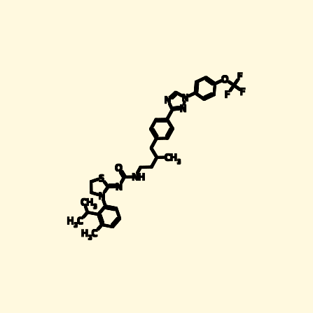 Cc1cccc(N2CCS/C2=N\C(=O)NCCC(C)Cc2ccc(-c3ncn(-c4ccc(OC(F)(F)F)cc4)n3)cc2)c1C(C)C